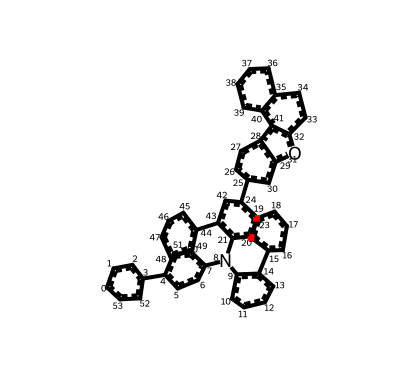 c1ccc(-c2ccc(N(c3ccccc3-c3ccccc3)c3ccc(-c4ccc5c(c4)oc4ccc6ccccc6c45)cc3-c3ccccc3)cc2)cc1